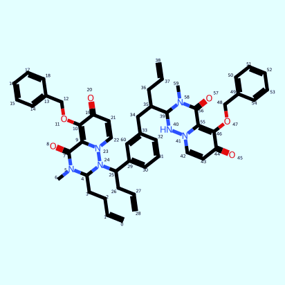 C=CCCC1N(C)C(=O)c2c(OCc3ccccc3)c(=O)ccn2N1C(CC=C)c1cccc(CC(CC=C)C2Nn3ccc(=O)c(OCc4ccccc4)c3C(=O)N2C)c1